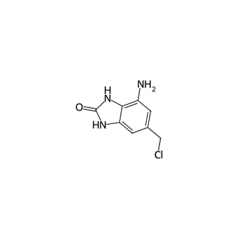 Nc1cc(CCl)cc2[nH]c(=O)[nH]c12